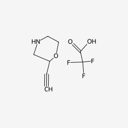 C#CC1CNCCO1.O=C(O)C(F)(F)F